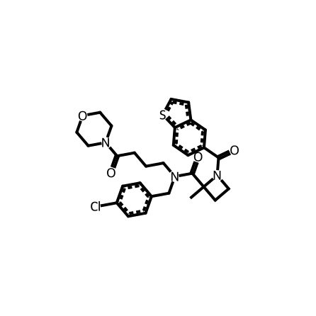 CC1(C(=O)N(CCCC(=O)N2CCOCC2)Cc2ccc(Cl)cc2)CCN1C(=O)c1ccc2sccc2c1